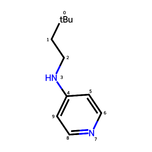 CC(C)(C)CCNc1ccncc1